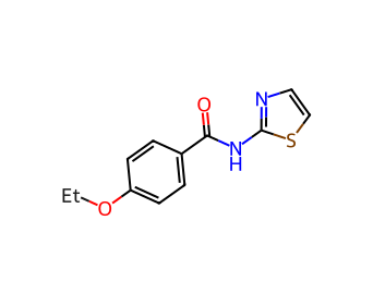 CCOc1ccc(C(=O)Nc2nccs2)cc1